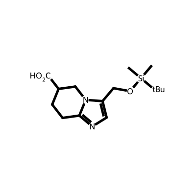 CC(C)(C)[Si](C)(C)OCc1cnc2n1CC(C(=O)O)CC2